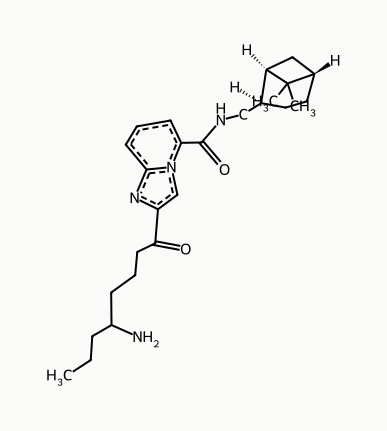 CCCC(N)CCCC(=O)c1cn2c(C(=O)NC[C@@H]3CC[C@H]4C[C@H]3C4(C)C)cccc2n1